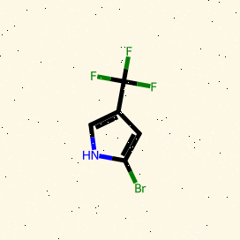 FC(F)(F)c1c[nH]c(Br)c1